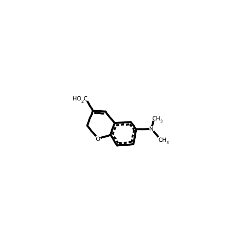 CN(C)c1ccc2c(c1)C=C(C(=O)O)CO2